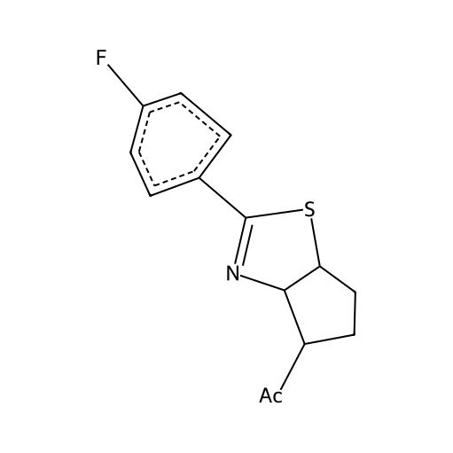 CC(=O)C1CCC2SC(c3ccc(F)cc3)=NC21